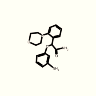 NC(=O)C(Oc1cccc(N)c1)c1ccccc1N1CCOCC1